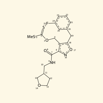 CSC(=S)OCc1c(C(=O)NCC2CCOC2)noc1Cc1cccc(F)c1